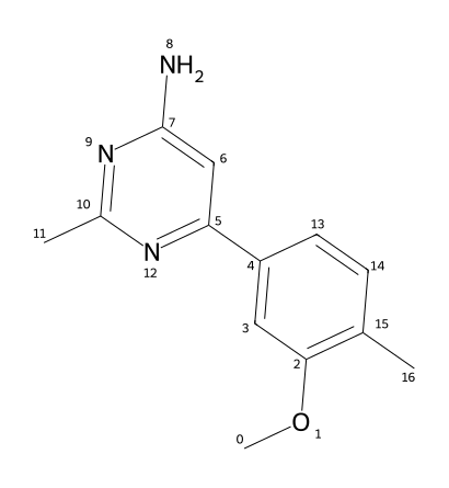 COc1cc(-c2cc(N)nc(C)n2)ccc1C